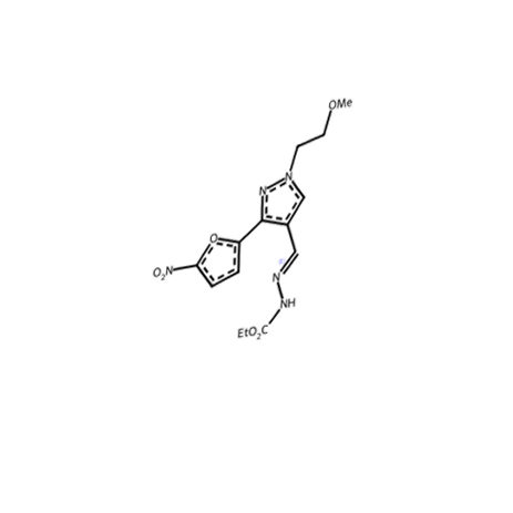 CCOC(=O)N/N=C/c1cn(CCOC)nc1-c1ccc([N+](=O)[O-])o1